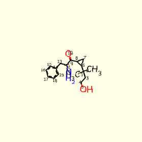 CC(C)(CCO)C1CC1C(=O)C(N)Cc1ccccc1